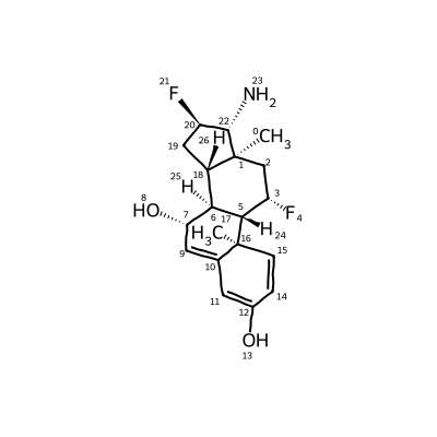 C[C@]12C[C@H](F)[C@H]3[C@@H]([C@@H](O)C=C4C=C(O)C=C[C@@]43C)[C@@H]1C[C@@H](F)[C@@H]2N